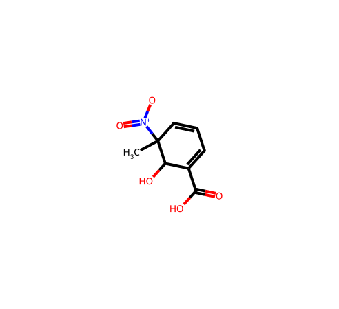 CC1([N+](=O)[O-])C=CC=C(C(=O)O)C1O